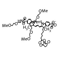 CCCCCN1C(=CC=CC2=[N+](CCOCCOC)c3ccc(S(=O)(=O)NCCOCCOC)cc3C2(C)CCOCCOC)C(C)(CCCCCC(=O)ON2C(=O)CCC2=O)c2cc(S(=O)(=O)[O-])ccc21